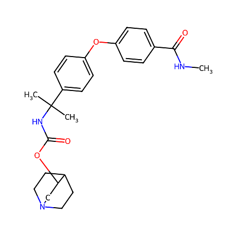 CNC(=O)c1ccc(Oc2ccc(C(C)(C)NC(=O)OC3CN4CCC3CC4)cc2)cc1